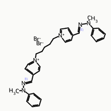 CN(/N=C/c1cc[n+](CCCCC[n+]2ccc(/C=N/N(C)c3ccccc3)cc2)cc1)c1ccccc1.[Br-].[Br-]